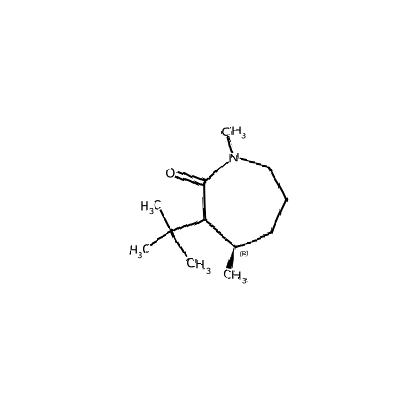 C[C@@H]1CCCN(C)C(=O)C1C(C)(C)C